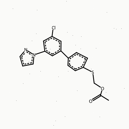 CC(=O)OCSc1ccc(-c2cc(Cl)cc(-n3cccn3)c2)cc1